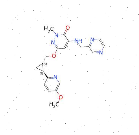 COc1ccc([C@H]2C[C@@H]2COc2cc(NCc3cnccn3)c(=O)n(C)n2)nc1